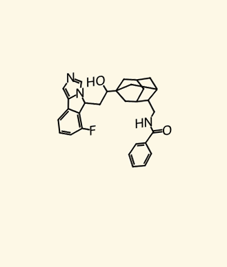 O=C(NCC1C2CC3CC1CC(C(O)CC1c4c(F)cccc4-c4cncn41)(C3)C2)c1ccccc1